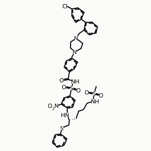 CS(=O)(=O)NCCCC[C@H](CSc1ccccc1)Nc1ccc(S(=O)(=O)NC(=O)c2ccc(N3CCN(Cc4ccccc4-c4ccc(Cl)cc4)CC3)cc2)cc1[N+](=O)[O-]